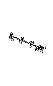 O=C(CCCCCNC(=O)CCCC[C@@H]1SC[C@@H]2NC(=O)N[C@@H]21)NCCCCCN1C(=O)C=CC1=O